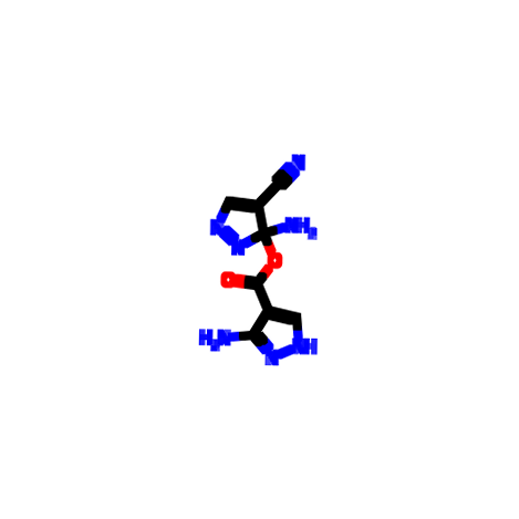 N#CC1=CN=NC1(N)OC(=O)c1c[nH]nc1N